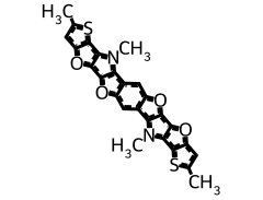 Cc1cc2oc3c4oc5cc6c(cc5c4n(C)c3c2s1)oc1c2oc3cc(C)sc3c2n(C)c61